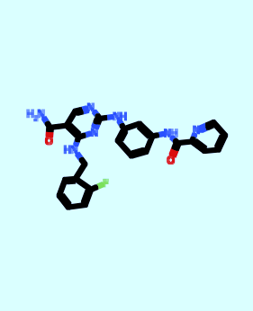 NC(=O)c1cnc(Nc2cccc(NC(=O)c3ccccn3)c2)nc1NCc1ccccc1F